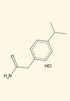 CC(C)c1ccc(CC(N)=O)cc1.Cl